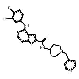 O=C(NC1CCN(Cc2ccncc2)CC1)c1cc2c(Nc3ccc(F)c(Cl)c3)ncnc2s1